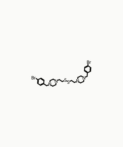 Brc1ccc(CN2CCN(CCSSCCN3CCN(Cc4ccc(Br)cc4)CC3)CC2)cc1